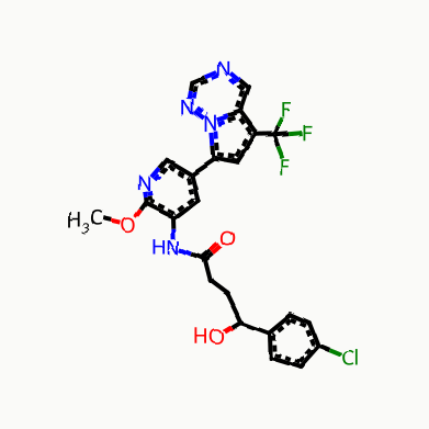 COc1ncc(-c2cc(C(F)(F)F)c3cncnn23)cc1NC(=O)CCC(O)c1ccc(Cl)cc1